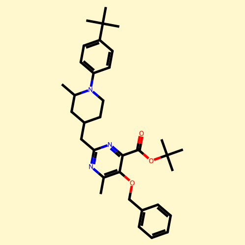 Cc1nc(CC2CCN(c3ccc(C(C)(C)C)cc3)C(C)C2)nc(C(=O)OC(C)(C)C)c1OCc1ccccc1